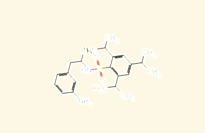 CC(Cc1cccc(N)c1)NS(=O)(=O)c1c(C(C)C)cc(C(C)C)cc1C(C)C